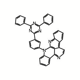 c1ccc(-c2nc(-c3ccccc3)nc(-c3cccc(N4c5ccccc5-c5nccc6c5c4nc4ccccc46)c3)n2)cc1